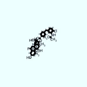 CC(C)Nc1cc(Cc2ccc([C@H]3O[C@@H]4C[C@H]5[C@@H]6C[C@H](F)C7=CC(O)C=C[C@]7(C)[C@@]6(F)[C@@H](O)C[C@]5(C)[C@]4(C(=O)CO)O3)cc2)ccc1Cl